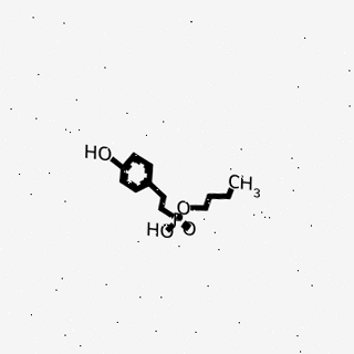 CCCCOP(=O)(O)CCc1ccc(O)cc1